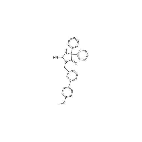 COc1ccc(-c2cccc(CN3C(=N)NC(c4ccccc4)(c4ccccc4)C3=O)c2)cc1